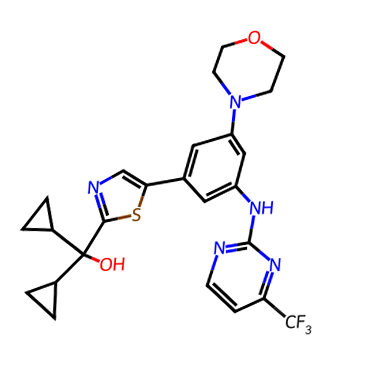 OC(c1ncc(-c2cc(Nc3nccc(C(F)(F)F)n3)cc(N3CCOCC3)c2)s1)(C1CC1)C1CC1